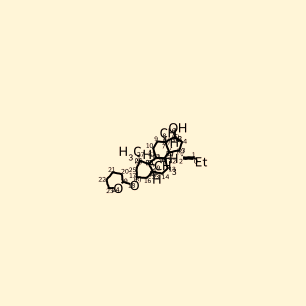 CCC=C[C@H]1C[C@H](O)[C@@]2(C)CC[C@H]3[C@@H](CC[C@H]4C[C@H](OC5CCCCO5)C[C@H](C)[C@@]43C)[C@H]12